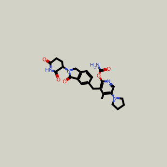 Cc1c(N2CCCC2)cnc(OC(N)=O)c1Cc1ccc2c(c1)C(=O)N(C1CCC(=O)NC1=O)C2